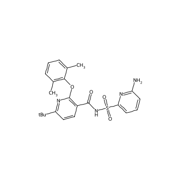 Cc1cccc(C)c1Oc1nc(C(C)(C)C)ccc1C(=O)NS(=O)(=O)c1cccc(N)n1